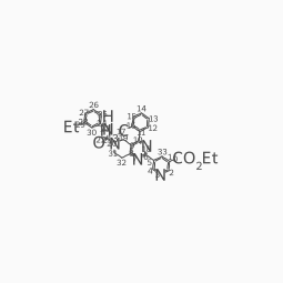 CCOC(=O)c1cncc(-c2nc3c(c(-c4ccccc4C)n2)CN(C(=O)Nc2cccc(CC)c2)CC3)c1